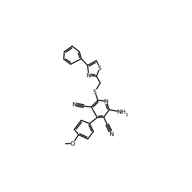 COc1ccc(-c2c(C#N)c(N)nc(SCc3nc(-c4ccccc4)cs3)c2C#N)cc1